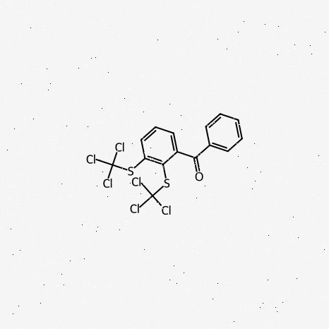 O=C(c1ccccc1)c1cccc(SC(Cl)(Cl)Cl)c1SC(Cl)(Cl)Cl